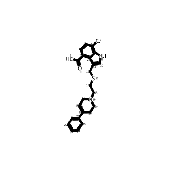 O=C(O)c1ccc(Cl)c2[nH]cc(CSCCN3CC=C(c4ccccc4)CC3)c12